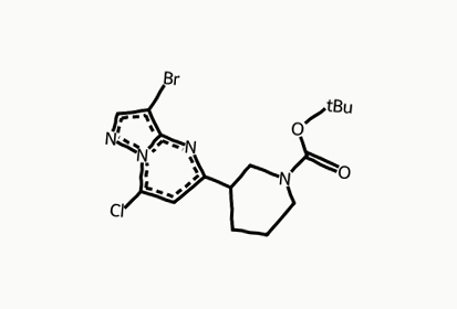 CC(C)(C)OC(=O)N1CCCC(c2cc(Cl)n3ncc(Br)c3n2)C1